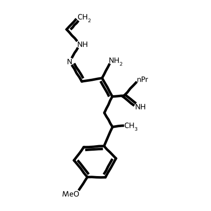 C=CN/N=C\C(N)=C(/CC(C)c1ccc(OC)cc1)C(=N)CCC